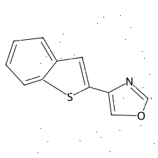 [c]1nc(-c2cc3ccccc3s2)co1